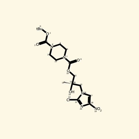 CC(C)(C)OC(=O)N1CCN(C(=O)OC[C@](C)(O)Cn2cc([N+](=O)[O-])nc2Cl)CC1